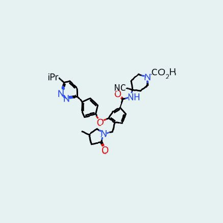 CC1CC(=O)N(Cc2ccc(C(=O)NC3(C#N)CCN(C(=O)O)CC3)cc2Oc2ccc(-c3ccc(C(C)C)nn3)cc2)C1